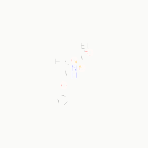 CCC(=O)C=CS(=O)(=O)N[C@H](C)C=CCOCc1ccccc1